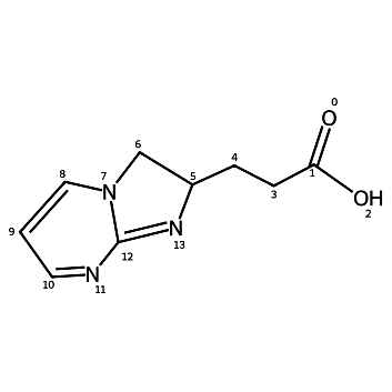 O=C(O)CCC1CN2C=CC=NC2=N1